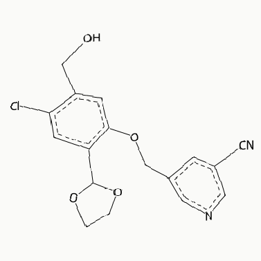 N#Cc1cncc(COc2cc(CO)c(Cl)cc2C2OCCO2)c1